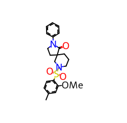 COc1cc(C)ccc1S(=O)(=O)N1CCCC2(CCN(c3ccccc3)C2=O)C1